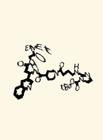 CCN(CC)C(=O)COC(=O)CC(NC(=O)C1CCN(C(=O)CCCNC2=NCCN2C(=O)OC(C)(C)C)CC1)c1cnc2ccccc2c1